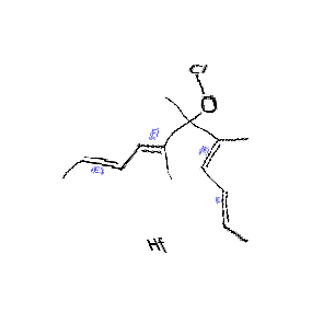 C/C=C/C=C(\C)C(C)(OCl)/C(C)=C/C=C/C.[Hf]